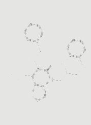 CCOC(=O)c1c(OCc2ccccc2)c(=O)n(CC2COc3ccccc3O2)c2ccsc12